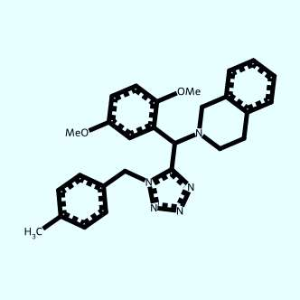 COc1ccc(OC)c(C(c2nnnn2Cc2ccc(C)cc2)N2CCc3ccccc3C2)c1